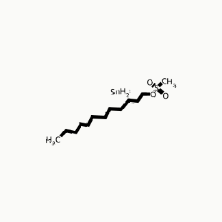 CCCCCCCCCCCCOS(C)(=O)=O.[SnH2]